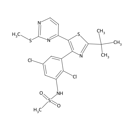 CSc1nccc(-c2sc(C(C)(C)C)nc2-c2cc(Cl)cc(NS(C)(=O)=O)c2Cl)n1